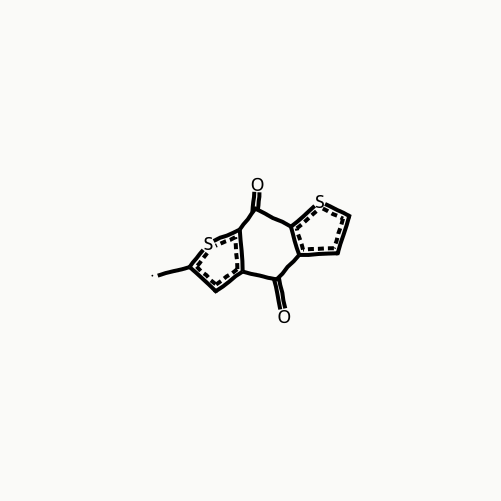 [CH2]c1cc2c(s1)C(=O)c1sccc1C2=O